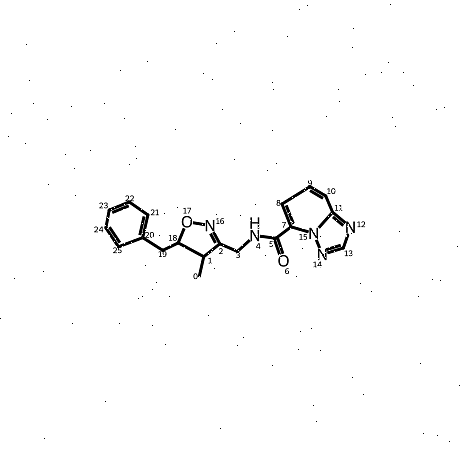 CC1C(CNC(=O)c2cccc3ncnn23)=NOC1Cc1ccccc1